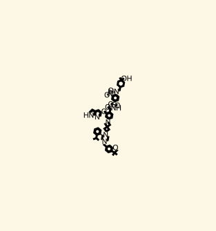 CC(C)c1ccccc1[C@@H]1CN(Cc2ccc3c(c2)OCC3(C)C)CCN1C1CC2(C1)CN(c1ccc(C(=O)NS(=O)(=O)c3ccc(NCC4CCC(C)(O)CC4)c([N+](=O)[O-])c3)c(Oc3cnc4[nH]ccc4c3)c1)C2